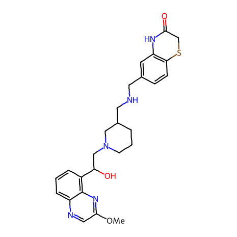 COc1cnc2cccc(C(O)CN3CCCC(CNCc4ccc5c(c4)NC(=O)CS5)C3)c2n1